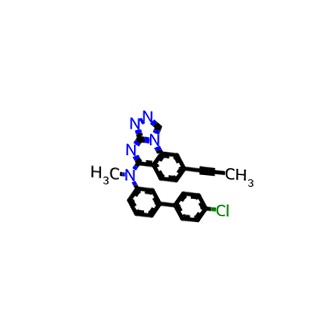 CC#Cc1ccc2c(N(C)c3cccc(-c4ccc(Cl)cc4)c3)nc3nncn3c2c1